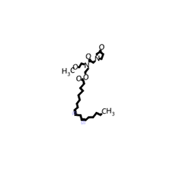 CCCCC/C=C\C/C=C\CCCCCCCC(=O)OCCN(CCOC)C(=O)CN1CCC(=O)C1